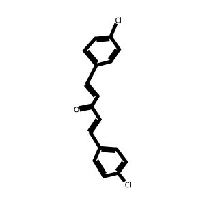 O=C(C=Cc1ccc(Cl)cc1)C=Cc1ccc(Cl)cc1